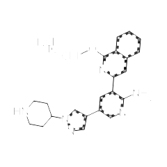 COc1nc(-c2cc(-c3cnn(C4CCNCC4)c3)cnc2N)cc2ccccc12.Cl.Cl.Cl